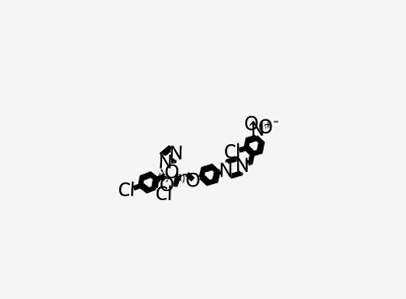 O=[N+]([O-])c1ccc(CN2CCN(c3ccc(OC[C@@H]4CO[C@@](Cn5ccnc5)(c5ccc(Cl)cc5Cl)O4)cc3)CC2)c(Cl)c1